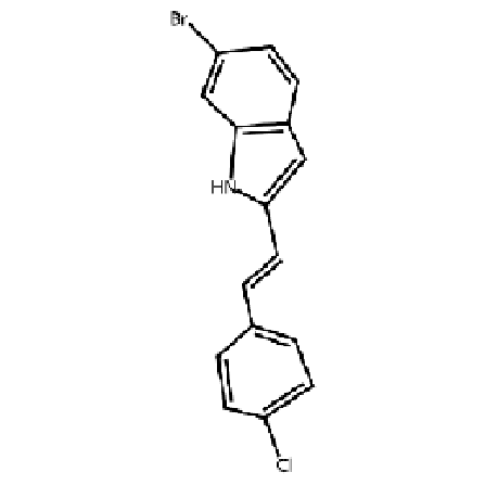 Clc1ccc(/C=C/c2cc3ccc(Br)cc3[nH]2)cc1